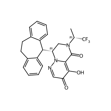 C[C@@H](N1C[C@@H](C2c3ccccc3CCc3ccccc32)n2ncc(=O)c(O)c2C1=O)C(F)(F)F